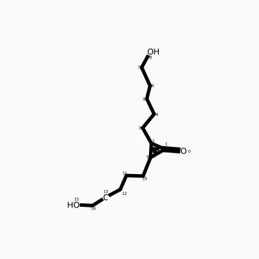 O=c1c(CCCCCO)c1CCCCCO